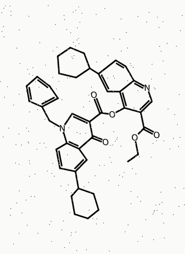 CCOC(=O)c1cnc2ccc(C3CCCCC3)cc2c1OC(=O)c1cn(Cc2ccccc2)c2ccc(C3CCCCC3)cc2c1=O